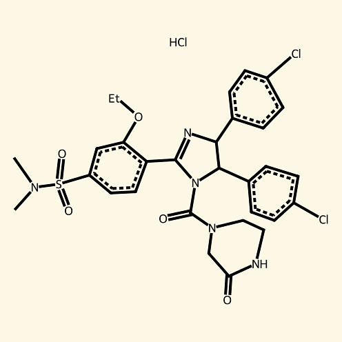 CCOc1cc(S(=O)(=O)N(C)C)ccc1C1=NC(c2ccc(Cl)cc2)C(c2ccc(Cl)cc2)N1C(=O)N1CCNC(=O)C1.Cl